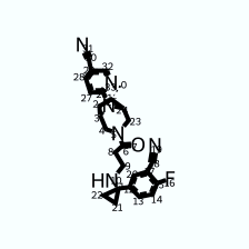 C[C@H]1CC2CN(C(=O)CCNC3(c4ccc(F)c(C#N)c4)CC3)CC1N2c1ccc(C#N)cn1